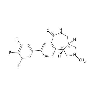 CN1C[C@@H]2CNC(=O)c3cc(-c4cc(F)c(F)c(F)c4)ccc3[C@H]2C1